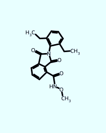 CCc1cccc(CC)c1N1C(=O)c2cccc(C(=O)NOC)c2C1=O